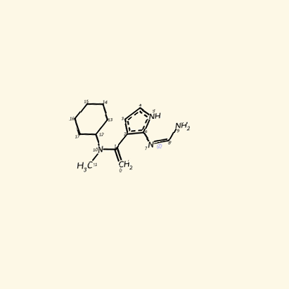 C=C(c1cc[nH]c1/N=C\N)N(C)C1CCCCC1